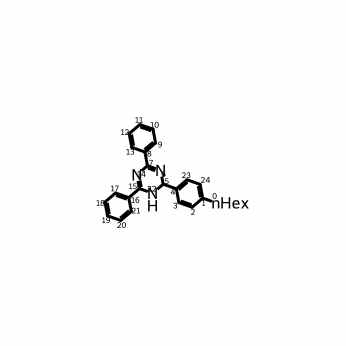 CCCCCCc1ccc(C2N=C(c3ccccc3)N=C(c3ccccc3)N2)cc1